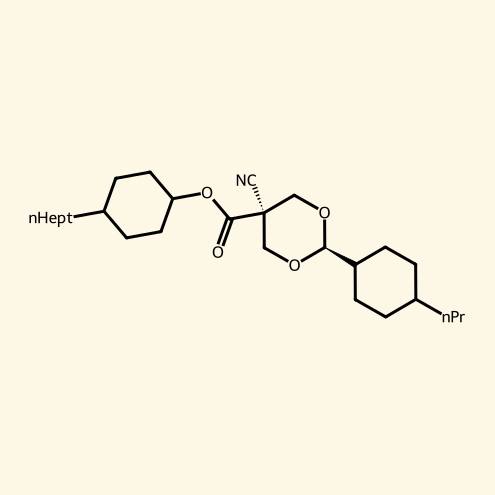 CCCCCCCC1CCC(OC(=O)[C@]2(C#N)CO[C@H](C3CCC(CCC)CC3)OC2)CC1